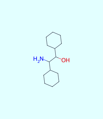 NC(C1CCCCC1)C(O)C1CCCCC1